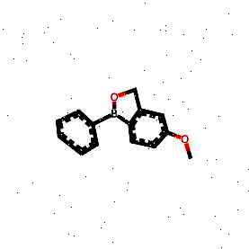 COc1ccc2c(c1)COB2c1ccccc1